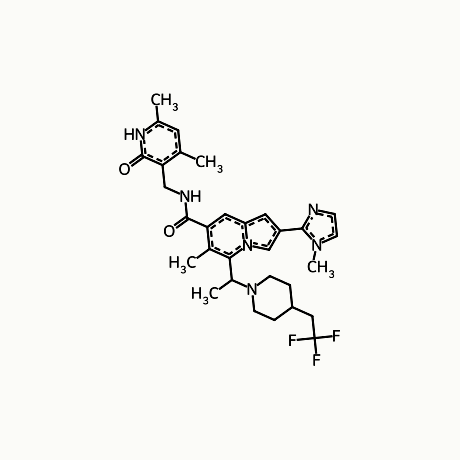 Cc1cc(C)c(CNC(=O)c2cc3cc(-c4nccn4C)cn3c(C(C)N3CCC(CC(F)(F)F)CC3)c2C)c(=O)[nH]1